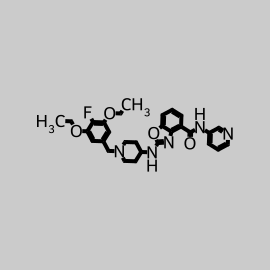 CCOc1cc(CN2CCC(Nc3nc4c(C(=O)Nc5cccnc5)cccc4o3)CC2)cc(OCC)c1F